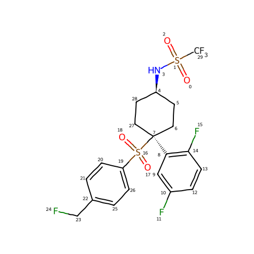 O=S(=O)(N[C@H]1CC[C@@](c2cc(F)ccc2F)(S(=O)(=O)c2ccc(CF)cc2)CC1)C(F)(F)F